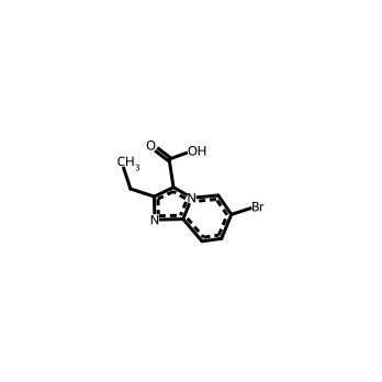 CCc1nc2ccc(Br)cn2c1C(=O)O